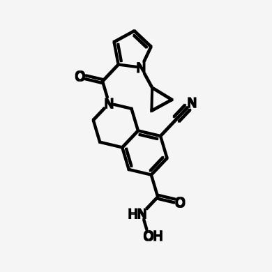 N#Cc1cc(C(=O)NO)cc2c1CN(C(=O)c1cccn1C1CC1)CC2